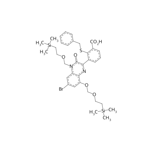 C[Si](C)(C)CCOCOc1cc(Br)cc2c1nc(-c1cccc(C(=O)O)c1SCc1ccccc1)c(=O)n2COCC[Si](C)(C)C